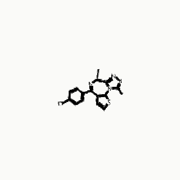 Cc1nnc2n1-c1sccc1C(c1ccc(Cl)cc1)=N[C@H]2C